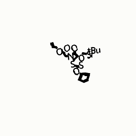 C=CCOC(=O)CN1C(=O)[C@H](OC[Si](C)(C)C(C)(C)C)[C@H]1SC(=S)Oc1ccccc1